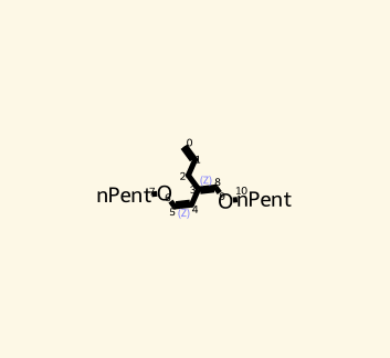 C=CCC(/C=C\OCCCCC)=C/OCCCCC